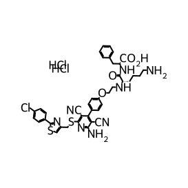 Cl.Cl.N#Cc1c(N)nc(SCc2csc(-c3ccc(Cl)cc3)n2)c(C#N)c1-c1ccc(OCCN[C@@H](CCCCN)C(=O)N[C@H](Cc2ccccc2)C(=O)O)cc1